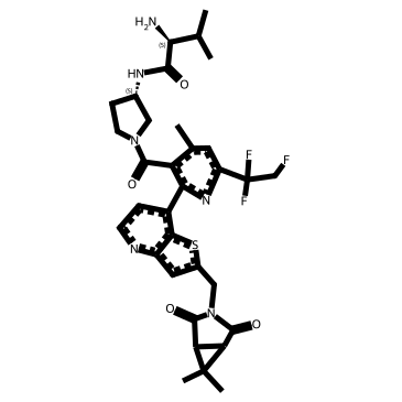 Cc1cc(C(F)(F)CF)nc(-c2ccnc3cc(CN4C(=O)C5C(C4=O)C5(C)C)sc23)c1C(=O)N1CC[C@H](NC(=O)[C@@H](N)C(C)C)C1